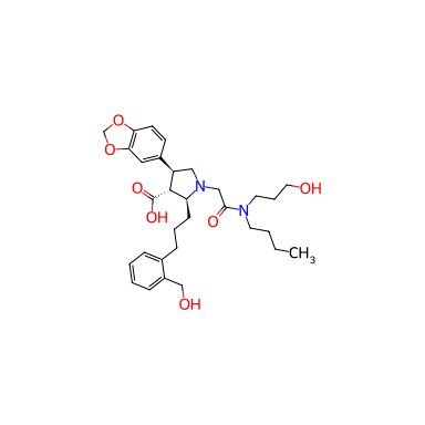 CCCCN(CCCO)C(=O)CN1C[C@H](c2ccc3c(c2)OCO3)[C@@H](C(=O)O)[C@@H]1CCCc1ccccc1CO